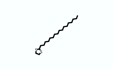 CCCCCCCCCCCCCCCCCC1SCCS1